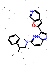 CC(CN(C)c1ccc2ncc(-c3cc4ccncc4o3)n2n1)c1ccccc1